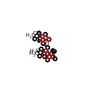 CC1(C)c2ccccc2C2(c3ccccc3-c3c(N(c4ccccc4-c4ccccc4-c4ccccc4-c4ccccc4)c4cccc5c4oc4ccc(-c6ccc(-c7ccccc7)c(-c7ccccc7-c7ccccc7N(c7cccc8c7-c7ccccc7C87c8ccccc8C(C)(C)c8ccccc87)c7cccc8c9ccccc9n(-c9ccccc9)c78)c6)cc45)cccc32)c2ccccc21